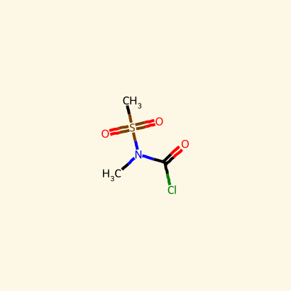 CN(C(=O)Cl)S(C)(=O)=O